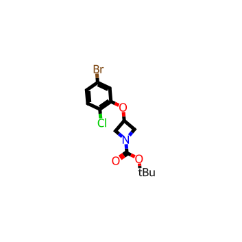 CC(C)(C)OC(=O)N1CC(Oc2cc(Br)ccc2Cl)C1